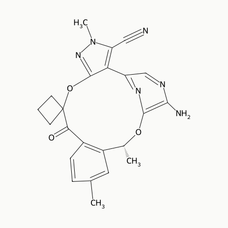 Cc1ccc2c(c1)[C@@H](C)Oc1nc(cnc1N)-c1c(nn(C)c1C#N)OC1(CCC1)C2=O